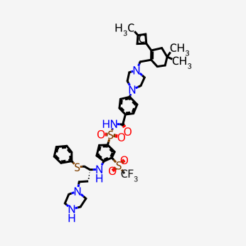 CC1(C)CCC(CN2CCN(c3ccc(C(=O)NS(=O)(=O)c4ccc(N[C@H](CCN5CCNCC5)CSc5ccccc5)c(S(=O)(=O)C(F)(F)F)c4)cc3)CC2)=C(C23CC(C)(C2)C3)C1